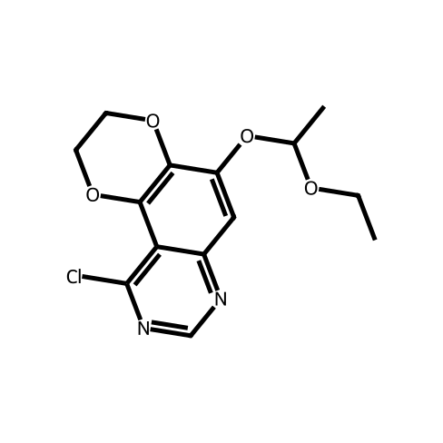 CCOC(C)Oc1cc2ncnc(Cl)c2c2c1OCCO2